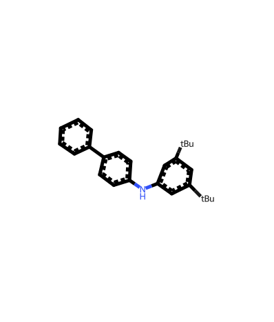 CC(C)(C)c1cc(Nc2ccc(-c3ccccc3)cc2)cc(C(C)(C)C)c1